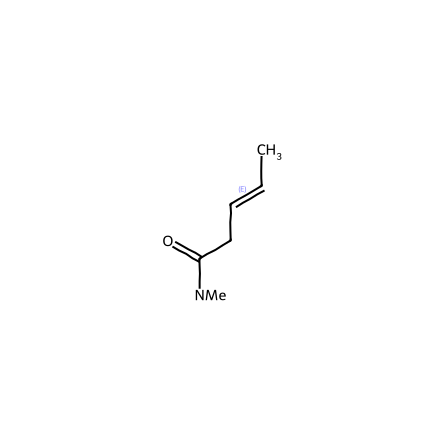 [CH2]NC(=O)C/C=C/C